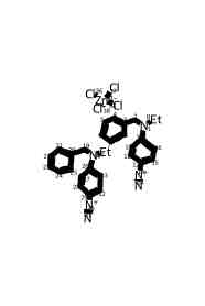 CCN(Cc1ccccc1)c1ccc([N+]#N)cc1.CCN(Cc1ccccc1)c1ccc([N+]#N)cc1.[Cl][Zn-2]([Cl])([Cl])[Cl]